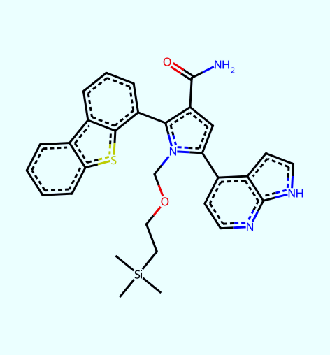 C[Si](C)(C)CCOCn1c(-c2ccnc3[nH]ccc23)cc(C(N)=O)c1-c1cccc2c1sc1ccccc12